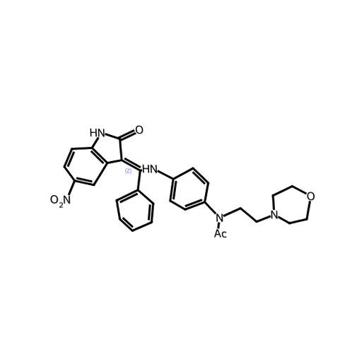 CC(=O)N(CCN1CCOCC1)c1ccc(N/C(=C2\C(=O)Nc3ccc([N+](=O)[O-])cc32)c2ccccc2)cc1